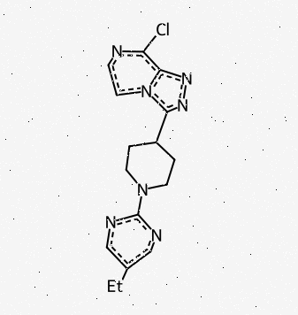 CCc1cnc(N2CCC(c3nnc4c(Cl)nccn34)CC2)nc1